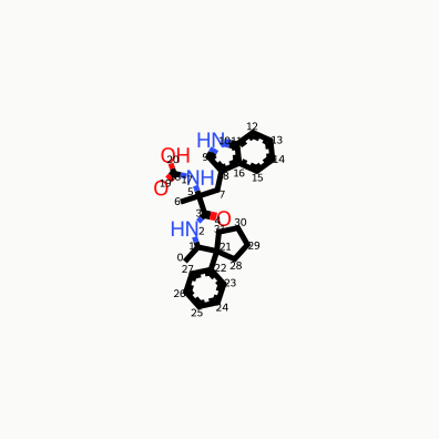 CC(NC(=O)C(C)(Cc1c[nH]c2ccccc12)NC(=O)O)C1(c2ccccc2)CCCC1